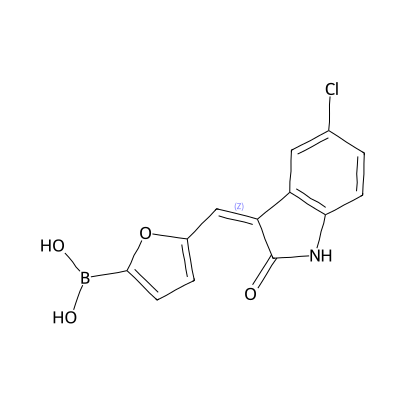 O=C1Nc2ccc(Cl)cc2/C1=C/c1ccc(B(O)O)o1